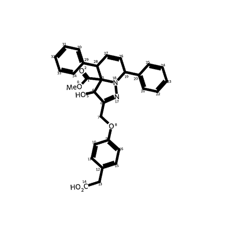 COC(=O)C12C(O)C(COc3ccc(CC(=O)O)cc3)=NN1C(c1ccccc1)C=CC2c1ccccc1